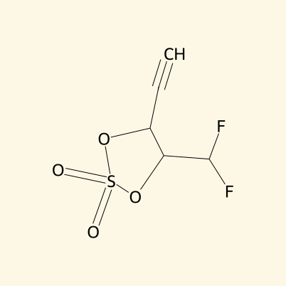 C#CC1OS(=O)(=O)OC1C(F)F